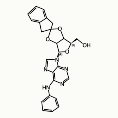 OC[C@H]1O[C@@H](n2cnc3c(Nc4ccccc4)ncnc32)C2OC3(Cc4ccccc4C3)OC21